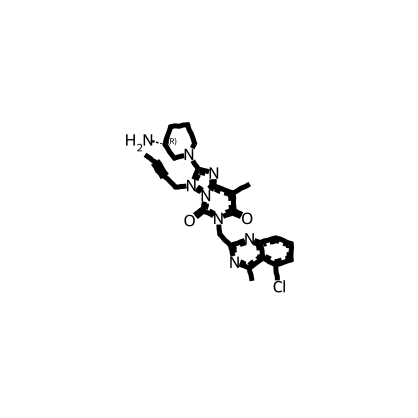 CC#CCn1c(N2CCC[C@@H](N)C2)nc2c(C)c(=O)n(Cc3nc(C)c4c(Cl)cccc4n3)c(=O)n21